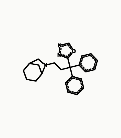 c1ccc(C(CCN2CC3CCCC2C3)(c2ccccc2)c2nnco2)cc1